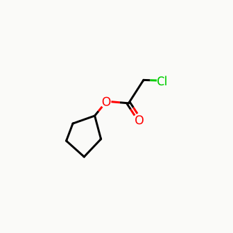 O=C(CCl)OC1CCCC1